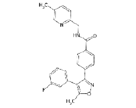 Cc1ccc(CNC(=O)c2ccc(-c3noc(C)c3-c3cccc(F)c3)cc2)nc1